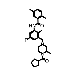 Cc1ccc(C)c(C(=O)Nc2cc(F)cc(CN3CCN(C(=O)C4CCCC4)C(C)C3)c2C)c1